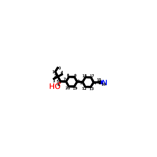 CCC(C)(C)C(O)C1CCC(C2CCC(C#N)CC2)CC1